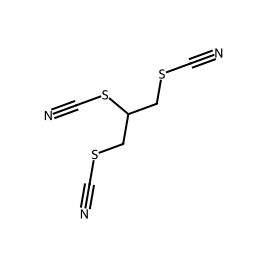 N#CSCC(CSC#N)SC#N